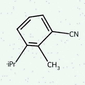 C[C](C)c1cccc(C#N)c1C